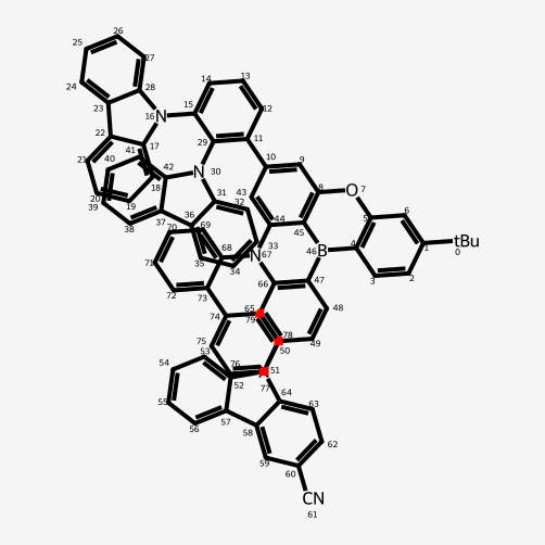 CC(C)(C)c1ccc2c(c1)Oc1cc(-c3cccc(-n4c5ccccc5c5ccccc54)c3-n3c4ccccc4c4ccccc43)cc3c1B2c1ccc(-n2c4ccccc4c4cc(C#N)ccc42)cc1N3c1ccccc1-c1ccccc1